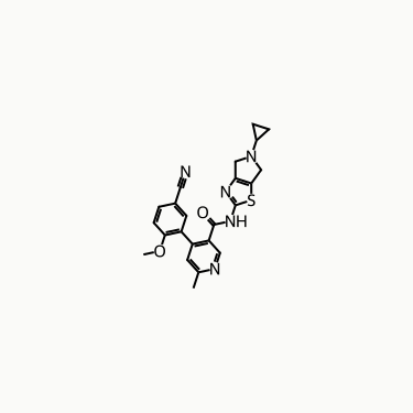 COc1ccc(C#N)cc1-c1cc(C)ncc1C(=O)Nc1nc2c(s1)CN(C1CC1)C2